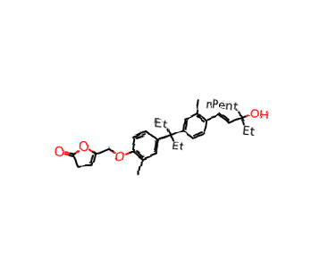 CCCCCC(O)(C=Cc1ccc(C(CC)(CC)c2ccc(OCC3=CCC(=O)O3)c(C)c2)cc1C)CC